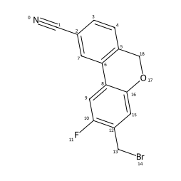 N#Cc1ccc2c(c1)-c1cc(F)c(CBr)cc1OC2